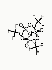 O=[S](=O)(OC(F)(F)F)[Al]([S](=O)(=O)OC(F)(F)F)[S](=O)(=O)OC(F)(F)F